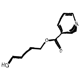 O=C(OCCCCO)c1cccnc1